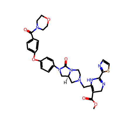 COC(=O)C1=C(CN2CCN3C(=O)N(c4ccc(Oc5ccc(C(=O)N6CCOCC6)cc5)cc4)C[C@@H]3C2)NC(c2nccs2)=NC1